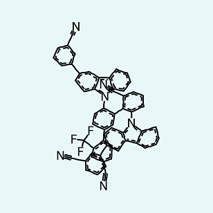 N#Cc1cccc(-c2ccc3c(c2)c2ccccc2n3-c2ccc(-c3ccc(C#N)cc3C(F)(F)F)cc2-c2c(C#N)cccc2-n2c3ccccc3c3cc(-c4cccc(C#N)c4)ccc32)c1